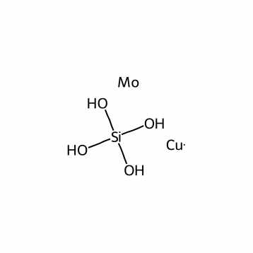 O[Si](O)(O)O.[Cu].[Mo]